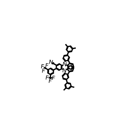 Cc1cc(C)cc(-c2ccc3c(c2)c2ccccc2n3-c2cc(C#N)c(-c3cc(C(F)(F)F)cc(C(F)(F)F)c3)cc2-n2c3ccccc3c3cc(-c4cc(C)cc(C)c4)ccc32)c1